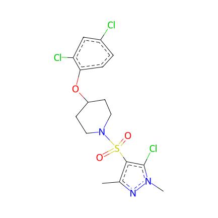 Cc1nn(C)c(Cl)c1S(=O)(=O)N1CCC(Oc2ccc(Cl)cc2Cl)CC1